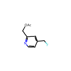 CC(=O)OCc1cc(CF)ccn1